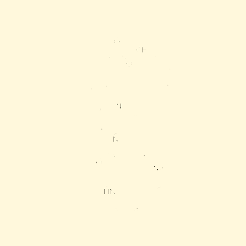 CS(=O)(=O)c1ccccc1C(c1ccccc1)N1CCN(C(=O)c2cncc3cc[nH]c23)CC1